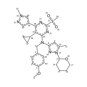 COc1ccc(CN(c2cc(C)n(C3CCCCO3)n2)c2nc(S(C)(=O)=O)nc(-c3cnn(C)c3)c2C2CC2)cc1